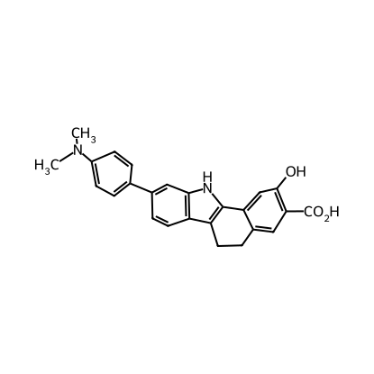 CN(C)c1ccc(-c2ccc3c4c([nH]c3c2)-c2cc(O)c(C(=O)O)cc2CC4)cc1